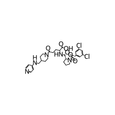 O=C(O)C(CCC(=O)N1CCC(CNc2ccncc2)CC1)NC(=O)[C@@H]1CCCN1S(=O)(=O)c1cc(Cl)cc(Cl)c1